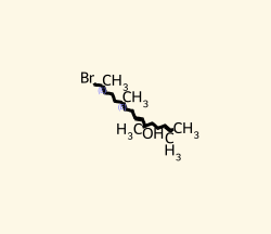 CC(C)=CCCC(C)(O)C=CC/C=C(\C)CC/C=C(\C)CBr